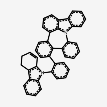 C1=Cc2c(c3ccccc3n2-c2ccccc2-c2cccc3c2-c2ccccc2-n2c4ccccc4c4cccc-3c42)CC1